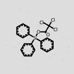 O=C(O[Si](c1ccccc1)(c1ccccc1)c1ccccc1)C(Cl)(Cl)Cl